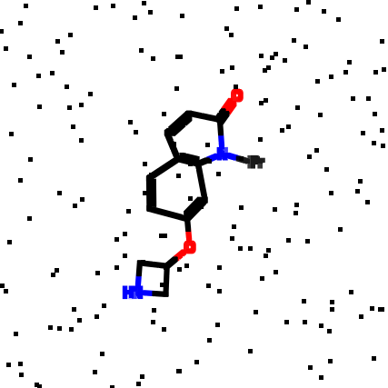 CC(C)n1c(=O)ccc2ccc(OC3CNC3)cc21